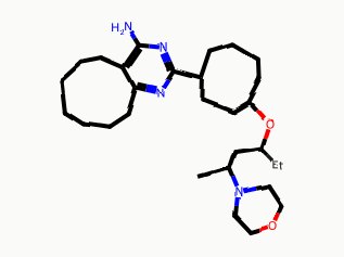 CCC(CC(C)N1CCOCC1)OC1CCCCC(c2nc(N)c3c(n2)CCCCCCC3)CC1